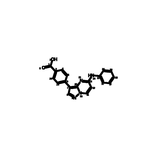 O=C(O)c1ccc(-c2cnn3ccc(Nc4ccccc4)nc23)cc1